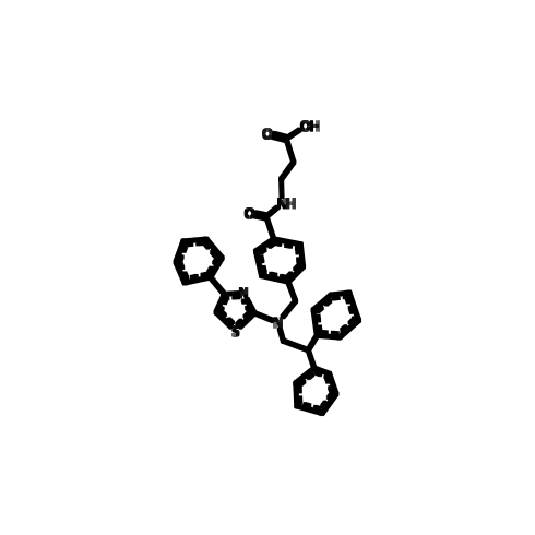 O=C(O)CCNC(=O)c1ccc(CN(CC(c2ccccc2)c2ccccc2)c2nc(-c3ccccc3)cs2)cc1